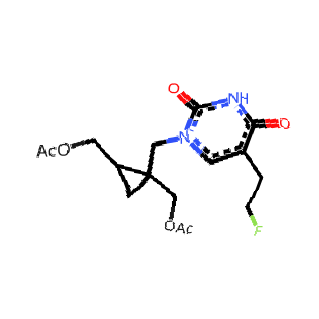 CC(=O)OCC1CC1(COC(C)=O)Cn1cc(CCF)c(=O)[nH]c1=O